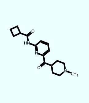 CN1CCC(C(=O)c2cccc(NC(=O)C3CCC3)n2)CC1